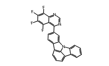 Fc1c(F)c(F)c2c(-c3ccc4c5cccc6c7ccccc7n(c4c3)c65)ncnc2c1F